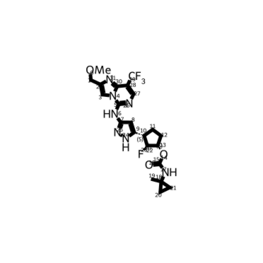 COCc1cn2c(Nc3cc([C@@H]4CC[C@H](OC(=O)NC5(C)CC5)[C@H]4F)[nH]n3)ncc(C(F)(F)F)c2n1